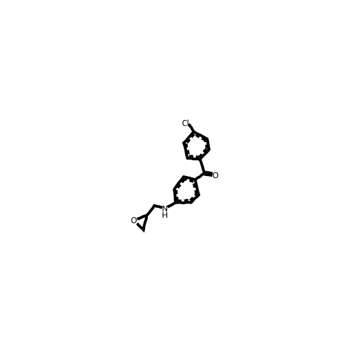 O=C(c1ccc(Cl)cc1)c1ccc(NCC2CO2)cc1